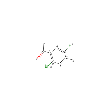 CC(=O)c1cc(F)c(C)cc1Br